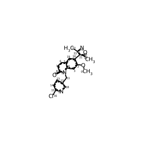 COc1cc2c(ccc(=O)n2Cc2ccc(Cl)nc2)cc1-c1c(C)noc1C